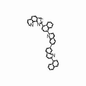 c1ccc2c(-c3ccc4ccc(-c5ccc6ccc(-c7ccc(-c8ccc9ccc%10cccnc%10c9n8)c8ccccc78)nc6c5)cc4n3)cccc2c1